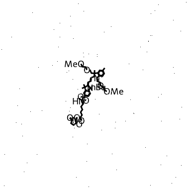 CCCCN1C(=CC=CC2=[N+](CCOCCOC)c3ccc(C)cc3C2(C)CCOCCOC)C(C)(C)c2cc(S(=O)(=O)NCCCCCC(=O)ON3C(=O)CCC3=O)ccc21